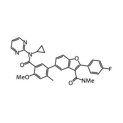 CNC(=O)c1c(-c2ccc(F)cc2)oc2ccc(-c3cc(C(=O)N(c4ncccn4)C4CC4)c(OC)cc3C)cc12